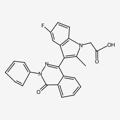 Cc1c(-c2nn(-c3ccccc3)c(=O)c3ccccc23)c2cc(F)ccc2n1CC(=O)O